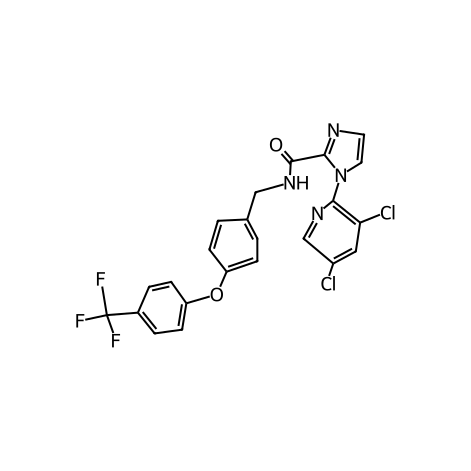 O=C(NCc1ccc(Oc2ccc(C(F)(F)F)cc2)cc1)c1nccn1-c1ncc(Cl)cc1Cl